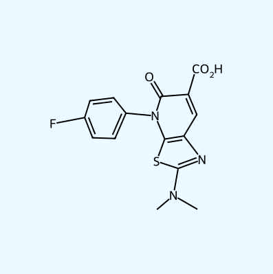 CN(C)c1nc2cc(C(=O)O)c(=O)n(-c3ccc(F)cc3)c2s1